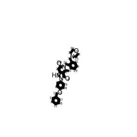 Cc1c2c(=O)n(-c3ccc(OCc4ccccc4)cc3)[nH]c2cc(=O)n1Cc1ccccc1CN1CCOCC1